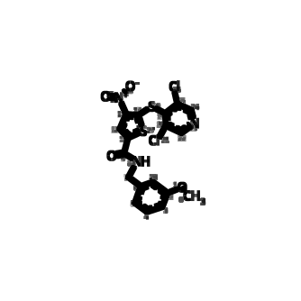 COc1cccc(CNC(=O)c2cc([N+](=O)[O-])c(Sc3c(Cl)cncc3Cl)s2)c1